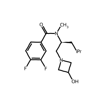 CC(C)C[C@@H](CN1CC(O)C1)N(C)C(=O)c1ccc(F)c(F)c1